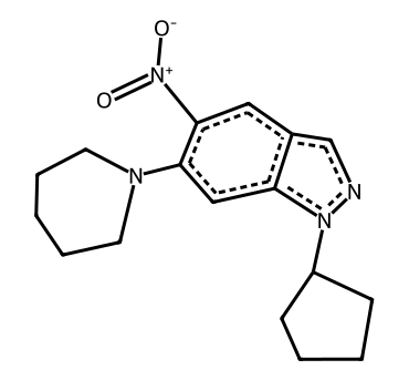 O=[N+]([O-])c1cc2cnn(C3CCCC3)c2cc1N1CCCCC1